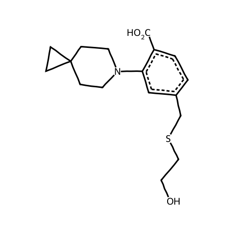 O=C(O)c1ccc(CSCCO)cc1N1CCC2(CC1)CC2